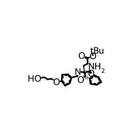 CC(C)(C)OC(=O)CC[C@]1(C(N)=O)N=C(c2ccc(OCCCO)cc2)O[C@H]1c1ccccc1